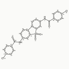 O=C(Nc1ccc2c(c1)S(=O)(=O)c1cc(NC(=O)c3ccc(Cl)cc3)ccc1-2)c1ccc(Cl)cc1